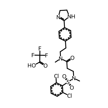 CN(CCc1ccc(C2=NCCN2)cc1)C(=O)CCN(C)S(=O)(=O)c1c(Cl)cccc1Cl.O=C(O)C(F)(F)F